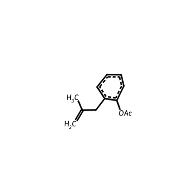 C=C(C)Cc1ccccc1OC(C)=O